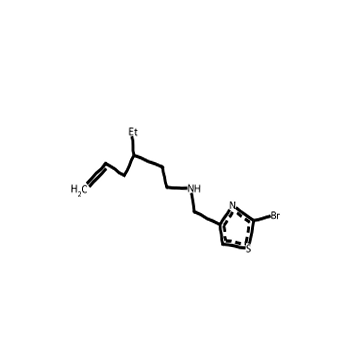 C=CCC(CC)CCNCc1csc(Br)n1